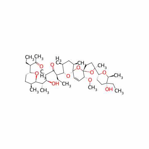 CC[C@@H](C(=O)[C@@H](C)[C@@H](O)[C@H](C)[C@@H]1O[C@@H]([C@@H](CC)C(C)=O)CC[C@@H]1C)[C@H]1O[C@]2(C=C[C@@H](OC)[C@]3(CC[C@@](C)([C@H]4CC[C@](O)(CC)[C@H](C)O4)O3)O2)[C@H](C)C[C@@H]1C